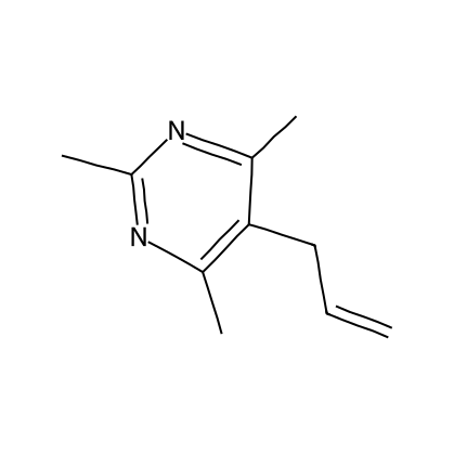 C=CCc1c(C)nc(C)nc1C